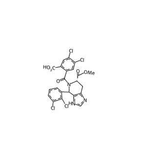 COC(=O)[C@@H]1Cc2nc[nH]c2C(c2cccc(Cl)c2Cl)N1C(=O)c1cc(Cl)c(Cl)cc1C(=O)O